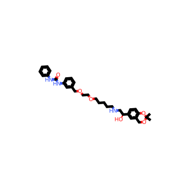 CC1(C)OCc2cc([C@@H](O)CNCCCCCOCCOCc3cccc(NC(=O)Nc4ccccc4)c3)ccc2O1